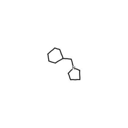 C1CC[C](CN2CCCC2)CC1